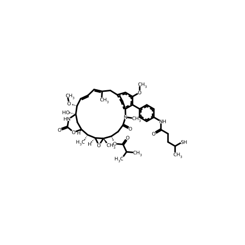 COc1cc2cc(c1-c1ccc(NC(=O)CCC(C)S)cc1)N(C)C(=O)C[C@H](OC(=O)C(C)C)[C@]1(C)O[C@H]1[C@H](C)[C@@H]1C[C@@](O)(NC(=O)O1)[C@H](OC)/C=C/C=C(\C)C2